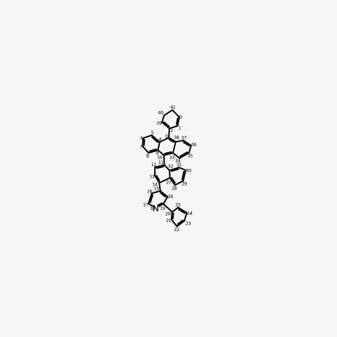 C1=CC(c2c3ccccc3c(-c3ccc(-c4ccnc(-c5ccccc5)c4)c4ccccc34)c3ccccc23)=CCC1